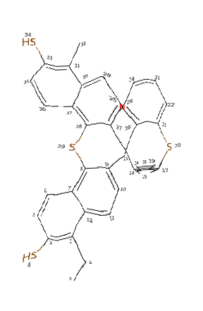 CCc1c(S)ccc2c3c(ccc12)C1(c2ccccc2Sc2ccccc21)c1ccc2c(C)c(S)ccc2c1S3